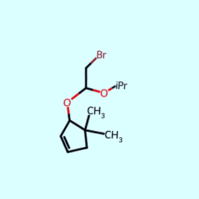 CC(C)OC(CBr)OC1C=CCC1(C)C